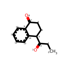 CCC(=O)C1CCC(=O)c2ccccc21